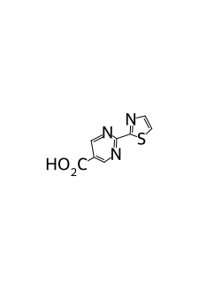 O=C(O)c1cnc(-c2nccs2)nc1